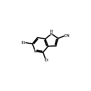 CCc1cc2[nH]c(C#N)cc2c(CC)n1